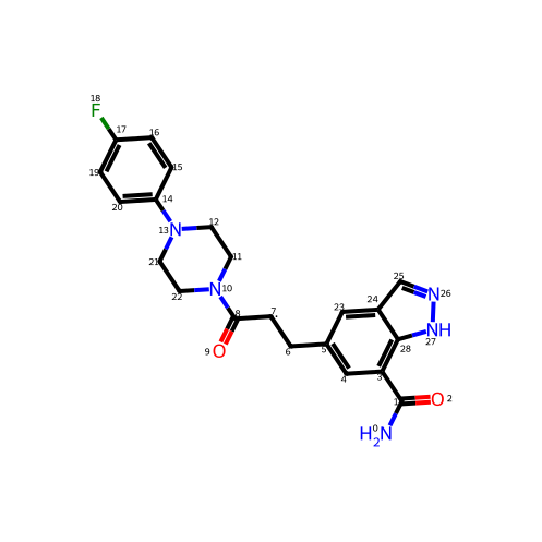 NC(=O)c1cc(C[CH]C(=O)N2CCN(c3ccc(F)cc3)CC2)cc2cn[nH]c12